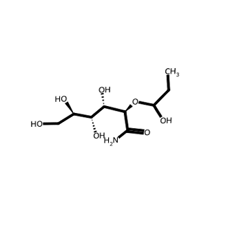 CCC(O)O[C@@H](C(N)=O)[C@@H](O)[C@H](O)[C@H](O)CO